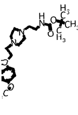 COc1ccc(OCCN2CCN(CCNC(=O)OC(C)(C)C)CC2)cc1